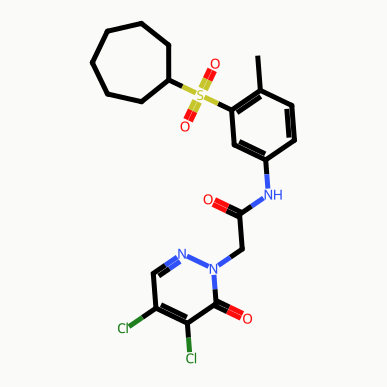 Cc1ccc(NC(=O)Cn2ncc(Cl)c(Cl)c2=O)cc1S(=O)(=O)C1CCCCCC1